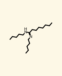 CCCCCCCC(=NCCCCC)NCCCCC